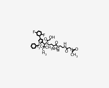 CC1C(=O)N1CC(=O)NCCNC(=O)[C@@H](N)CCN(C(=O)CO)C(c1cc(-c2cc(F)ccc2F)cn1Cc1ccccc1)C(C)(C)C